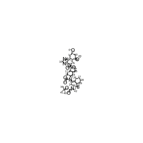 COc1ccc(CN(c2ncns2)S(=O)(=O)c2cc3oc(=O)n(C(C)c4ccccc4C4(F)CN(C(=O)OC(C)(C)C)C4)c3cc2F)c(OC)c1